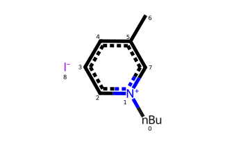 CCCC[n+]1cccc(C)c1.[I-]